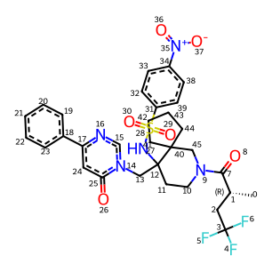 C[C@H](CC(F)(F)F)C(=O)N1CCC(Cn2cnc(-c3ccccc3)cc2=O)(NS(=O)(=O)c2ccc([N+](=O)[O-])cc2)C2(CCCC2)C1